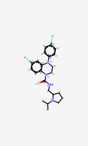 CC(C)N1CCCC1CNC(=O)N1CCN(c2ccc(F)cc2)c2cc(F)ccc21